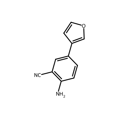 N#Cc1cc(-c2ccoc2)ccc1N